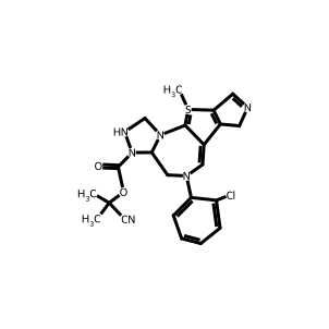 CS1=C2C(=CN(c3ccccc3Cl)CC3N2CNN3C(=O)OC(C)(C)C#N)C2=C1C=NC2